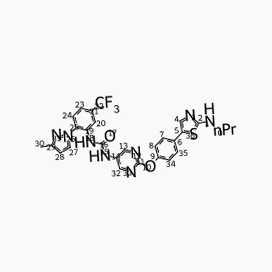 CCCNc1ncc(-c2ccc(Oc3ncc(NC(=O)Nc4cc(C(F)(F)F)ccc4-n4ccc(C)n4)cn3)cc2)s1